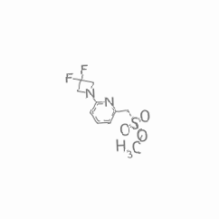 COS(=O)(=O)Cc1cccc(N2CC(F)(F)C2)n1